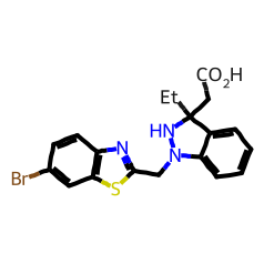 CCC1(CC(=O)O)NN(Cc2nc3ccc(Br)cc3s2)c2ccccc21